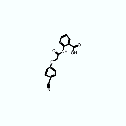 N#Cc1ccc(OCC(=O)Nc2ccccc2C(=O)O)cc1